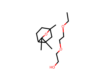 CC12CCC(CC1)C(C)(C)O2.CCOCCOCCO